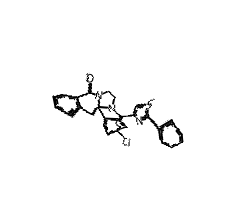 O=C(c1csc(-c2ccccc2)n1)N1CCN2C(=O)c3ccccc3CC12c1ccc(Cl)cc1